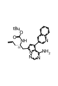 C=CC[C@@H](Cc1cc(-c2cnc3ccccc3c2)c2c(N)ncnn12)NC(=O)OC(C)(C)C